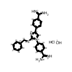 Cl.Cl.N=C(N)c1ccc(-c2cn(-c3ccc(C(=N)N)cc3)c(SCc3ccccc3)n2)cc1